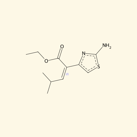 CCOC(=O)/C(=C\C(C)C)c1csc(N)n1